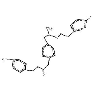 O=C(Cc1ccc(CC(SCCc2ccc(F)cc2)C(=O)O)cc1)OCc1ccc(C(F)(F)F)cc1